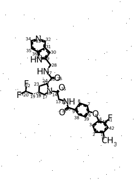 Cc1ccc(Oc2ccc(C(=O)NCC(=O)N3C[C@H](CC(F)F)C[C@H]3C(=O)NCc3cc4cnccc4[nH]3)cc2)c(F)c1